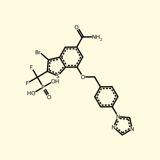 NC(=O)c1cc(OCc2ccc(-n3cncn3)cc2)c2sc(C(F)(F)P(=O)(O)O)c(Br)c2c1